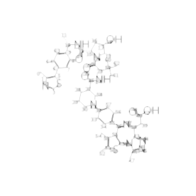 Cc1ncsc1-c1ccc([C@H](C)NC(=O)[C@@H]2C[C@@H](O)CN2C(=O)[C@@H](NC(=O)C2CCCN(c3ccc(C4=N[C@@H](CC(=O)O)c5nnc(C)n5-c5sc(C)c(C)c54)cc3)C2)C(C)(C)C)cc1